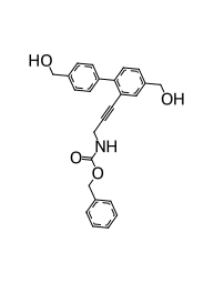 O=C(NCC#Cc1cc(CO)ccc1-c1ccc(CO)cc1)OCc1ccccc1